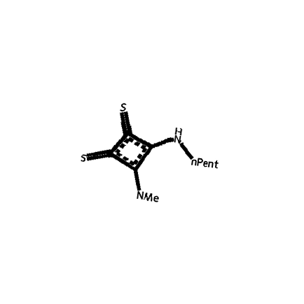 CCCCCNc1c(NC)c(=S)c1=S